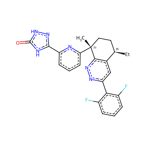 CC[C@@H]1CC[C@@](C)(c2cccc(-c3n[nH]c(=O)[nH]3)n2)c2nnc(-c3c(F)cccc3F)cc21